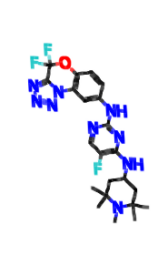 CN1C(C)(C)CC(Nc2nc(Nc3ccc4c(c3)-n3nnnc3C(F)(F)O4)ncc2F)CC1(C)C